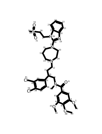 COc1cc(C(=O)N(C)CC(CCN2CCCN(c3nc4ccccc4n3CCS(C)(=O)=O)CC2)c2ccc(Cl)c(Cl)c2)cc(OC)c1OC